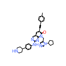 Cc1ccc(C#Cc2cc3cnc(Nc4ccc(C5CCNCC5)cc4)nc3n(Cc3cncn3C3CCCC3)c2=O)cc1